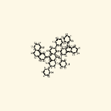 c1ccc(-c2ccc3c(N(c4ccccc4)c4ccc5c(c4)c4ccccc4n5-c4ccccc4)c4cc(-c5ccccc5)ccc4c(-c4ccc5ccc6ccccc6c5c4)c3c2)cc1